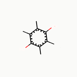 Cc1c(O)c(C(=O)O)c(C)c(O)c1C(=O)O